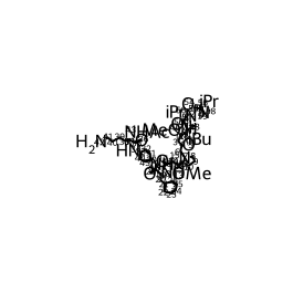 CC[C@H](C)[C@@H]([C@@H](CC(=O)CN1CCC[C@H]1[C@H](OC)[C@@H](C)C(=O)N[C@@H](Cc1ccccc1)C(=O)Nc1ccc(NC(=O)[C@@H](CCCCN)NC(C)=O)cc1)OC)N(C)C(=O)[C@@H](NC(=O)[C@H](C(C)C)N(C)C)C(C)C